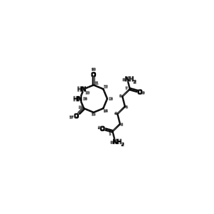 NC(=O)CCCCC(N)=O.O=C1CCCCC(=O)NN1